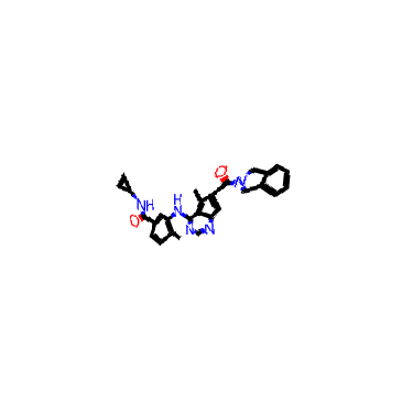 CC1=C2C(Nc3cc(C(=O)NC4CC4)ccc3C)=NC=NC2C=C1C(=O)N1Cc2ccccc2C1